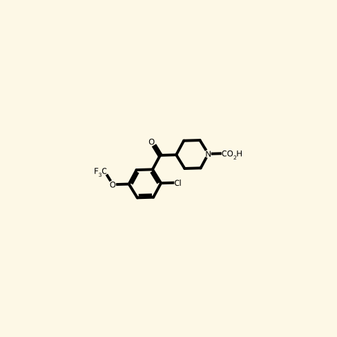 O=C(c1cc(OC(F)(F)F)ccc1Cl)C1CCN(C(=O)O)CC1